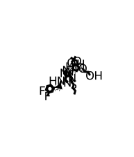 CCCSc1nc(NC2C[C@H]2c2ccc(F)c(F)c2)c2nnn([C@@H]3C[C@H](OCCO)[C@H]4OC(C)(C)O[C@H]43)c2n1